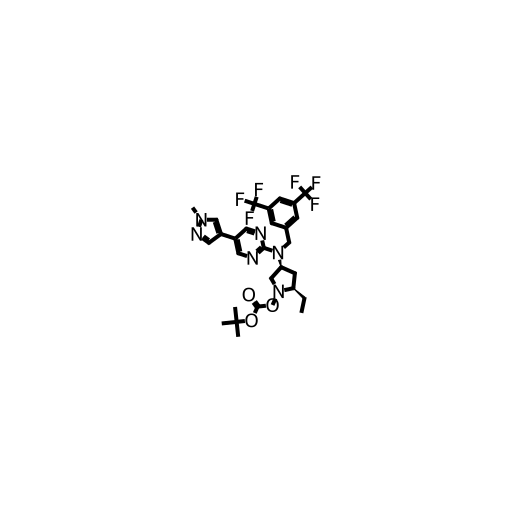 CC[C@@H]1C[C@H](N(Cc2cc(C(F)(F)F)cc(C(F)(F)F)c2)c2ncc(-c3cnn(C)c3)cn2)CN1OC(=O)OC(C)(C)C